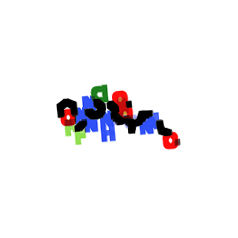 C=C(/C(=C\C=C(/C)c1ccn(CCCOC)n1)Nc1cc(Cl)nc2c1nc(C(F)F)n2C1CCCCO1)S(C)(=O)=O